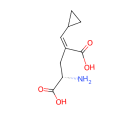 N[C@@H](C/C(=C/C1CC1)C(=O)O)C(=O)O